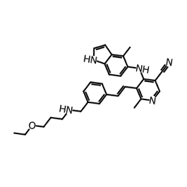 CCOCCCNCc1cccc(C=Cc2c(C)ncc(C#N)c2Nc2ccc3[nH]ccc3c2C)c1